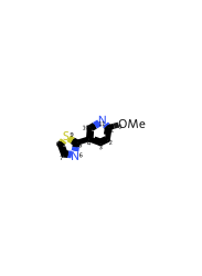 COc1ccc(-c2nccs2)cn1